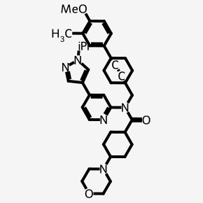 COc1ccc(C23CCC(CN(C(=O)C4CCC(N5CCOCC5)CC4)c4cc(-c5cnn(C(C)C)c5)ccn4)(CC2)CC3)cc1C